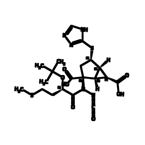 CSCC[C@H](OC(C)(C)C)C(=O)N(N=C=O)[C@@]1(C(=O)O)C[C@H](Sc2nnc[nH]2)[C@H]2[C@H](C(=O)O)[C@H]21